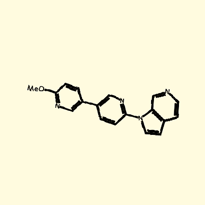 COc1ccc(-c2ccc(-n3ccc4ccncc43)nc2)cn1